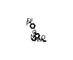 C=CC(=O)Nc1ccc(OC[C@H]2CC[C@H](C(F)(F)F)CC2)c2ncccc12